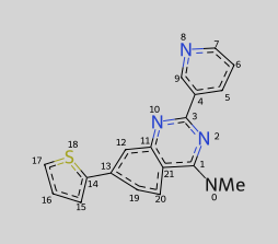 CNc1nc(-c2cccnc2)nc2cc(-c3cccs3)ccc12